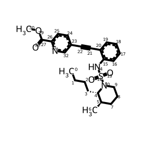 CCCC[C@H]1[C@H](C)CCCN1S(=O)(=O)Nc1ccccc1C#Cc1ccc(C(=O)OC)nc1